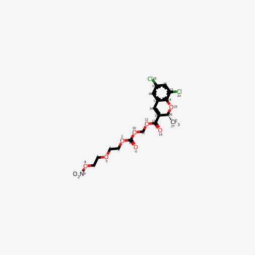 O=C(OCCOCCO[N+](=O)[O-])OCOC(=O)C1=Cc2cc(Cl)cc(Cl)c2O[C@@H]1C(F)(F)F